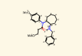 COCCC(=O)N(c1ccc(OC)cc1)C1CCCCCC1N(C)Cc1ccccc1